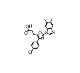 Cc1cc2ncn(-c3nc(-c4ccc(Cl)cc4)c(CCC(=O)O)o3)c2cc1C